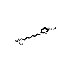 N[C@H]1CC[C@@H](CCCCCCCO[PH](=O)S)O1